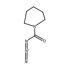 [N-]=[N+]=NC(=O)N1CCCCC1